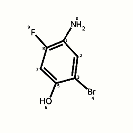 Nc1cc(Br)c(O)cc1F